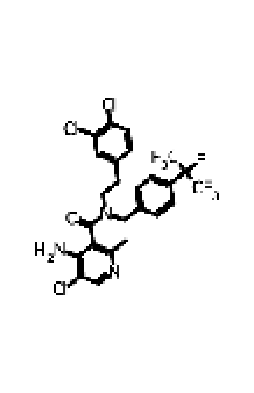 Cc1ncc(Cl)c(N)c1C(=O)N(CCc1ccc(Cl)c(Cl)c1)Cc1ccc(C(F)(C(F)(F)F)C(F)(F)F)cc1